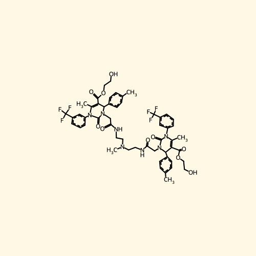 CC1=C(C(=O)OCCO)C(c2ccc(C)cc2)N(CC(=O)NCCN(C)CCNC(=O)CN2C(=O)N(c3cccc(C(F)(F)F)c3)C(C)=C(C(=O)OCCO)C2c2ccc(C)cc2)C(=O)N1c1cccc(C(F)(F)F)c1